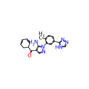 Cc1ccc(-c2nnc[nH]2)cc1-n1ncc(C(=O)C2C=CC=CC2)c1N